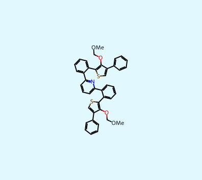 COCOc1c(-c2ccccc2)csc1-c1ccccc1-c1cccc(-c2ccccc2-c2scc(-c3ccccc3)c2OCOC)n1